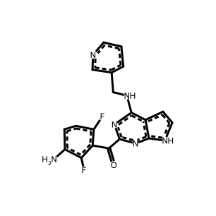 Nc1ccc(F)c(C(=O)c2nc(NCc3cccnc3)c3cc[nH]c3n2)c1F